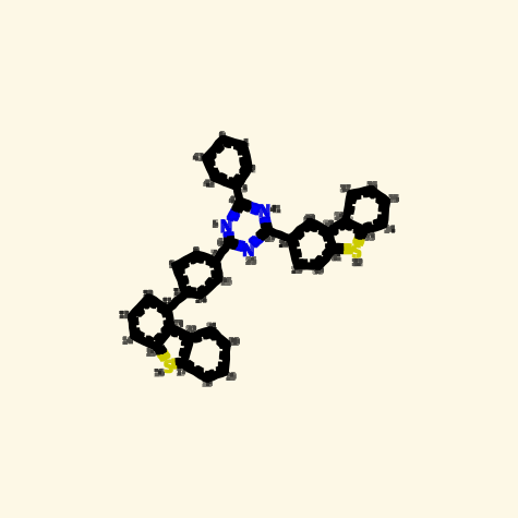 c1ccc(-c2nc(-c3ccc(-c4cccc5sc6ccccc6c45)cc3)nc(-c3ccc4sc5ccccc5c4c3)n2)cc1